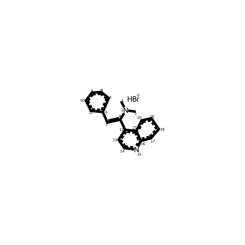 Br.CN(C)C(=Cc1ccccc1)c1ccnc2ccccc12